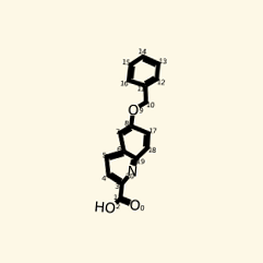 O=C(O)c1ccc2cc(OCc3ccccc3)ccc2n1